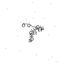 CCC(C)(O[Si](C)(C)C(C)(C)O[Si](C)(C)C)C(C)(C)[Si](C)(CCCOCC1CO1)OC(C)(CC)[Si](C)(C)C